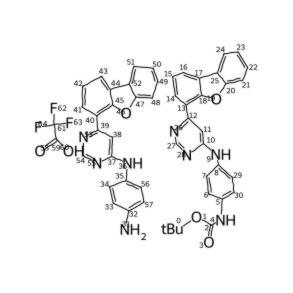 CC(C)(C)OC(=O)Nc1ccc(Nc2cc(-c3cccc4c3oc3ccccc34)ncn2)cc1.Nc1ccc(Nc2cc(-c3cccc4c3oc3ccccc34)ncn2)cc1.O=C(O)C(F)(F)F